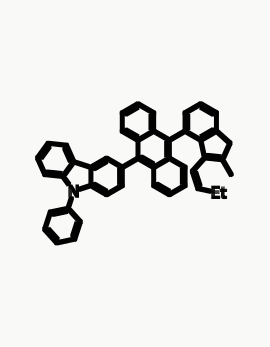 CC/C=C\C1=C(C)Cc2cccc(-c3c4ccccc4c(-c4ccc5c(c4)c4ccccc4n5-c4ccccc4)c4ccccc34)c21